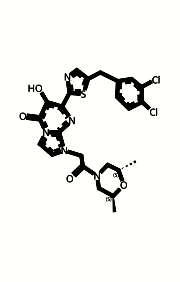 C[C@H]1CN(C(=O)Cn2ccn3c(=O)c(O)c(-c4ncc(Cc5ccc(Cl)c(Cl)c5)s4)nc23)C[C@H](C)O1